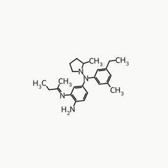 CC/C(C)=N/c1cc(N(c2cc(C)cc(CC)c2)N2CCCC2C)ccc1N